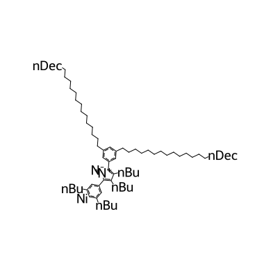 CCCCCCCCCCCCCCCCCCCCCCCCc1cc(CCCCCCCCCCCCCCCCCCCCCCCC)cc(C2=C(CCCC)C(CCCC)=C(c3cc(CCCC)cc(CCCC)c3)[N+]2=[N-])c1.[Ni]